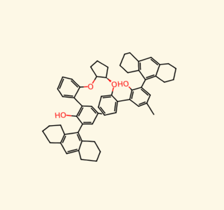 Cc1cc(-c2ccccc2OC2CCC[C@H]2Oc2ccccc2-c2cc(C)cc(-c3c4c(cc5c3CCCC5)CCCC4)c2O)c(O)c(-c2c3c(cc4c2CCCC4)CCCC3)c1